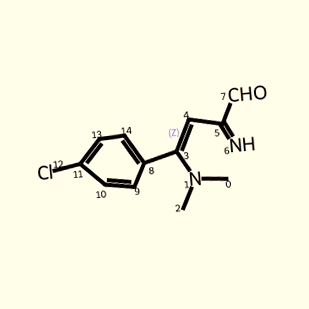 CN(C)/C(=C\C(=N)C=O)c1ccc(Cl)cc1